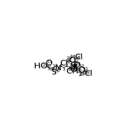 CC(CCCN1CS[C@H](CC(=O)O)C1)N(c1cc(Cl)ccc1Cl)S(=O)(=O)c1ccc(Cl)cc1